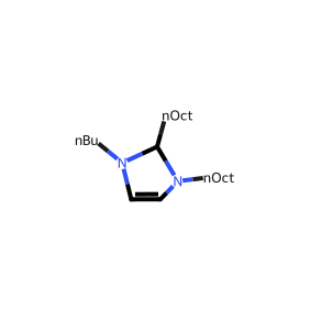 CCCCCCCCC1N(CCCC)C=CN1CCCCCCCC